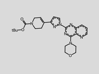 CC(C)(C)OC(=O)N1CC=C(c2ccn(-c3nc(N4CCOCC4)c4ncccc4n3)n2)CC1